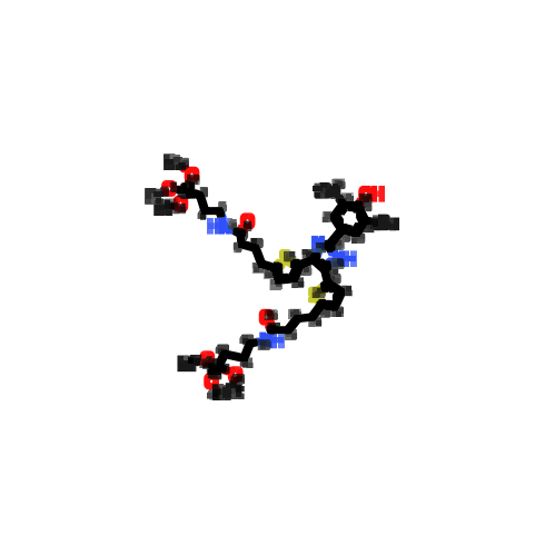 CCO[Si](CCCNC(=O)CCCc1ccc(-c2nc(-c3cc(C(C)(C)C)c(O)c(C(C)(C)C)c3)[nH]c2-c2ccc(CCCC(=O)NCCC[Si](OCC)(OCC)OCC)s2)s1)(OCC)OCC